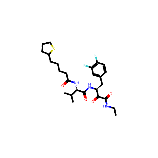 CCNC(=O)C(=O)[C@H](Cc1ccc(F)c(F)c1)NC(=O)[C@@H](NC(=O)CCCCC1CCCS1)C(C)C